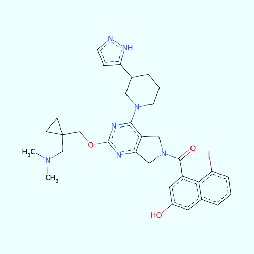 CN(C)CC1(COc2nc3c(c(N4CCCC(c5ccn[nH]5)C4)n2)CN(C(=O)c2cc(O)cc4cccc(I)c24)C3)CC1